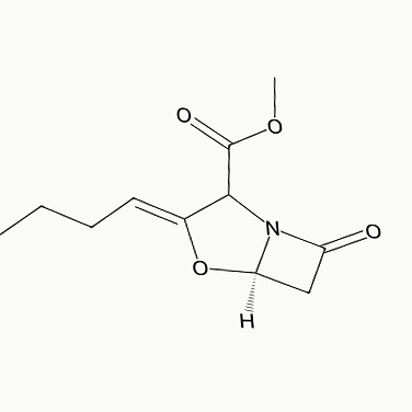 CCC/C=C1\O[C@@H]2CC(=O)N2C1C(=O)OC